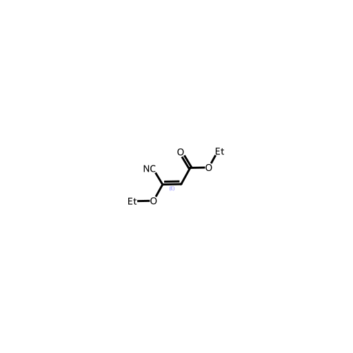 CCOC(=O)/C=C(\C#N)OCC